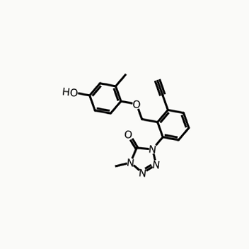 C#Cc1cccc(-n2nnn(C)c2=O)c1COc1ccc(O)cc1C